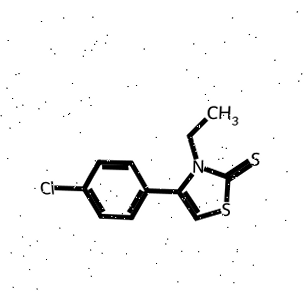 CCn1c(-c2ccc(Cl)cc2)csc1=S